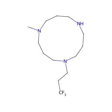 CN1CCCNCCCN(CCC(F)(F)F)CCC1